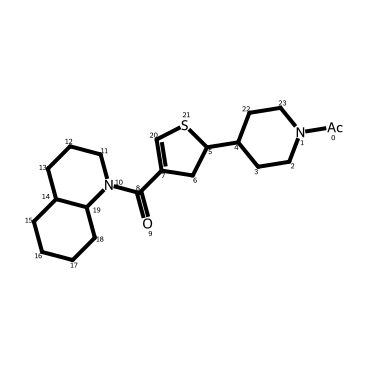 CC(=O)N1CCC(C2CC(C(=O)N3CCCC4CCCCC43)=CS2)CC1